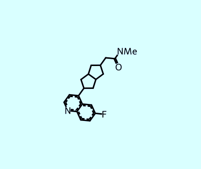 CNC(=O)CC1CC2CC(c3ccnc4ccc(F)cc34)CC2C1